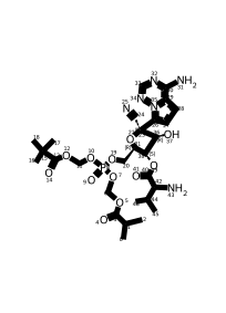 CC(C)C(=O)OCOP(=O)(OCOC(=O)C(C)(C)C)OC[C@H]1O[C@@](C#N)(c2ccc3c(N)ncnn23)[C@H](O)[C@@H]1OC(=O)C(N)C(C)C